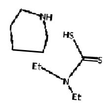 C1CCNCC1.CCN(CC)C(=S)S